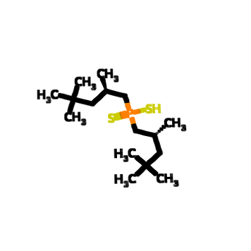 C[C@H](CC(C)(C)C)CP(=S)(S)C[C@H](C)CC(C)(C)C